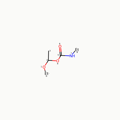 C[CH]OC(C)OC(=O)NCC